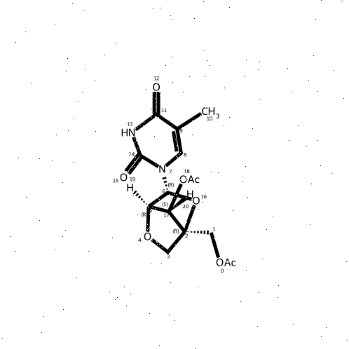 CC(=O)OC[C@@]12CO[C@@H]([C@H](n3cc(C)c(=O)[nH]c3=O)O1)[C@@H]2OC(C)=O